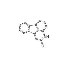 O=c1cc2c3c(cccc3[nH]1)-c1ccccc1-2